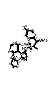 COc1ncnc(OC)c1-n1c(NS(=O)(=O)C(C)C(OC)c2ncc(Cl)cn2)nnc1[C@@H]1CCCO1